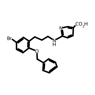 O=C(O)c1ccc(NCCCc2cc(Br)ccc2OCc2ccccc2)nc1